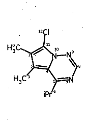 Cc1c(C)c2c(C(C)C)ncnn2c1Cl